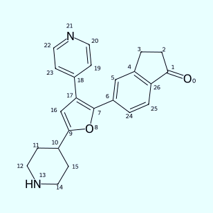 O=C1CCc2cc(-c3oc(C4CCNCC4)cc3-c3ccncc3)ccc21